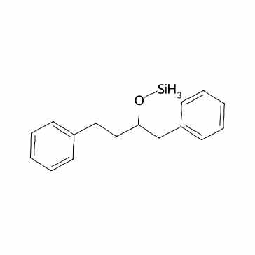 [SiH3]OC(CCc1ccccc1)Cc1ccccc1